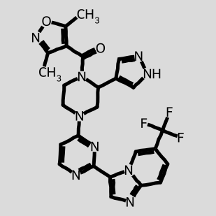 Cc1noc(C)c1C(=O)N1CCN(c2ccnc(-c3cnc4ccc(C(F)(F)F)cn34)n2)CC1c1cn[nH]c1